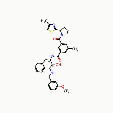 Cc1cc(C(=O)N[C@@H](Cc2ccccc2)[C@H](O)CNCc2cccc(OC(F)(F)F)c2)cc(C(=O)N2CCCC2c2nc(C)cs2)c1